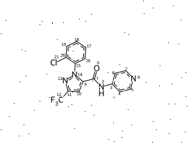 O=C(Nc1ccncc1)c1cc(C(F)(F)F)nn1-c1ccccc1Cl